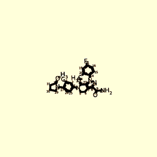 Cc1cc(N2CCc3c(C(N)=O)nn(-c4ccc(F)cc4C)c3C2=O)ccc1N1CCCC1=O